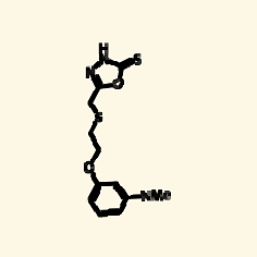 CNc1cccc(OCCSCc2n[nH]c(=S)o2)c1